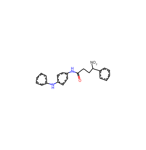 O=C(CCC(c1ccccc1)[N+](=O)[O-])Nc1ccc(Nc2ccccc2)cc1